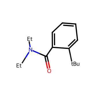 CCN(CC)C(=O)c1ccccc1C(C)(C)C